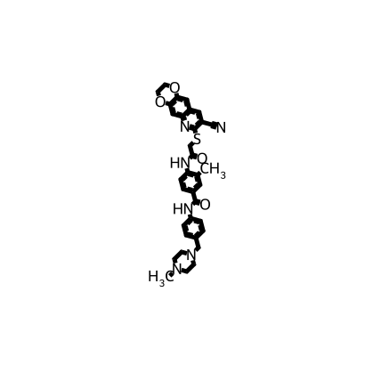 Cc1cc(C(=O)Nc2ccc(CN3CCN(C)CC3)cc2)ccc1NC(=O)CSc1nc2cc3c(cc2cc1C#N)OCCO3